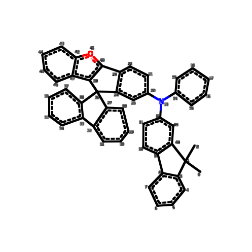 CC1(C)c2ccccc2-c2ccc(N(c3ccccc3)c3ccc4c(c3)C3(c5ccccc5-c5ccccc53)c3c-4oc4ccccc34)cc21